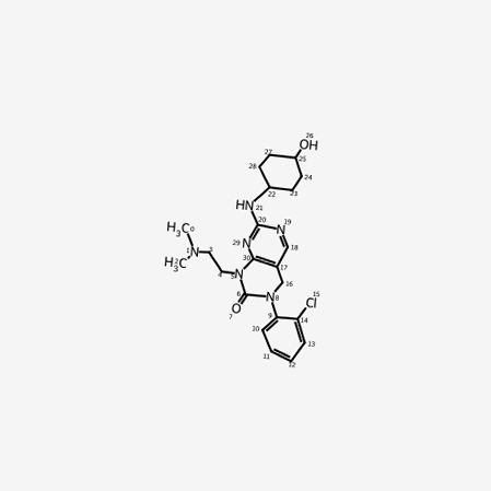 CN(C)CCN1C(=O)N(c2ccccc2Cl)Cc2cnc(NC3CCC(O)CC3)nc21